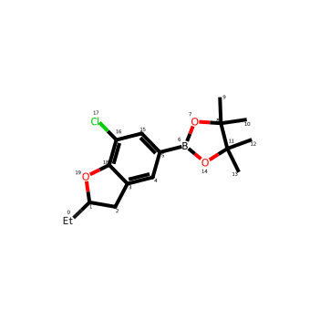 CCC1Cc2cc(B3OC(C)(C)C(C)(C)O3)cc(Cl)c2O1